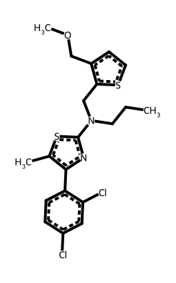 CCCN(Cc1sccc1COC)c1nc(-c2ccc(Cl)cc2Cl)c(C)s1